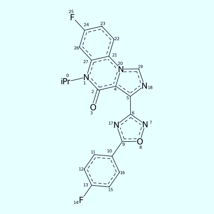 CC(C)n1c(=O)c2c(-c3noc(-c4ccc(F)cc4)n3)ncn2c2ccc(F)cc21